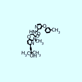 Cc1cccc(Oc2ccnc(C(=O)N[C@H]3COc4ccc(C#CC(C)(C)O)nc4N(C)C3=O)c2)c1